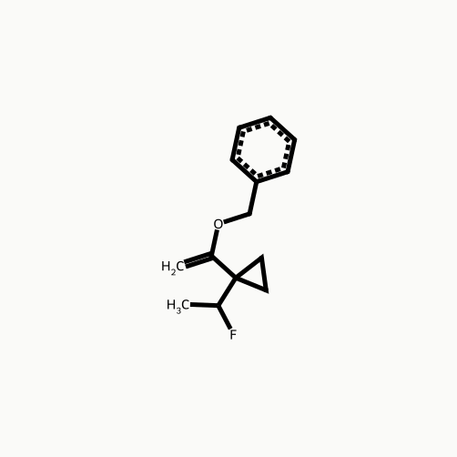 C=C(OCc1ccccc1)C1(C(C)F)CC1